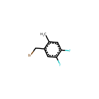 Cc1cc(F)c(F)cc1CBr